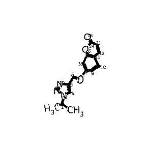 CC(C)n1cc(COc2ccc3ccc(=O)oc3c2)nn1